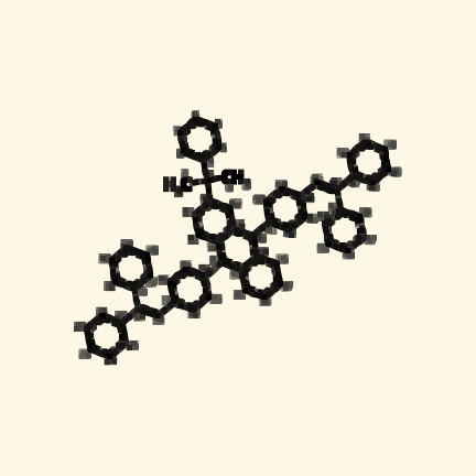 CC(C)(c1ccccc1)c1ccc2c(-c3ccc(C=C(c4ccccc4)c4ccccc4)cc3)c3ccccc3c(-c3ccc(C=C(c4ccccc4)c4ccccc4)cc3)c2c1